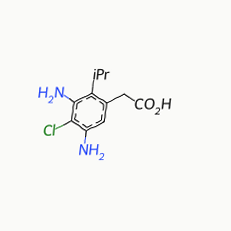 CC(C)c1c(CC(=O)O)cc(N)c(Cl)c1N